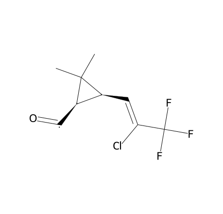 CC1(C)[C@H]([C]=O)[C@@H]1C=C(Cl)C(F)(F)F